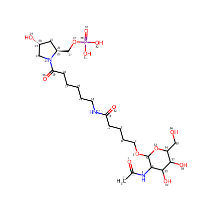 CC(=O)NC1C(OCCCCC(=O)NCCCCCC(=O)N2C[C@H](O)C[C@H]2COP(=O)(O)O)OC(CO)C(O)C1O